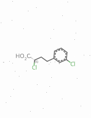 O=C(O)[C@@H](Cl)CCc1cccc(Cl)c1